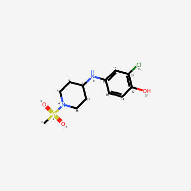 CS(=O)(=O)N1CCC(Nc2ccc(O)c(Cl)c2)CC1